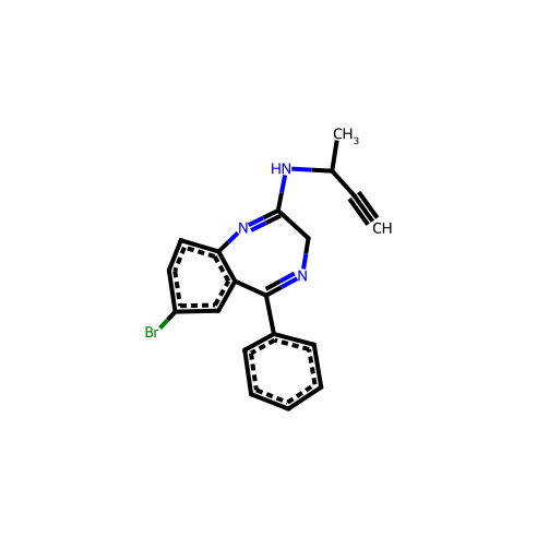 C#CC(C)NC1=Nc2ccc(Br)cc2C(c2ccccc2)=NC1